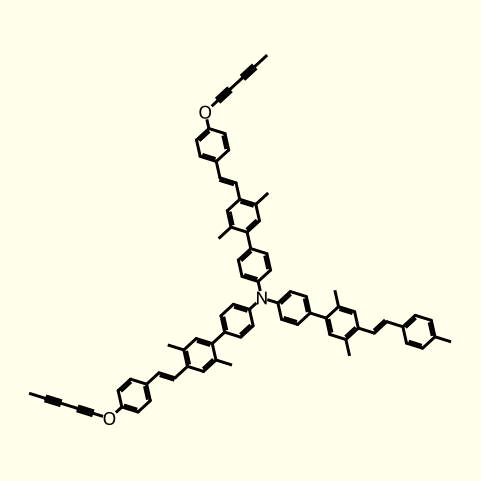 CC#CC#COc1ccc(/C=C/c2cc(C)c(-c3ccc(N(c4ccc(-c5cc(C)c(/C=C/c6ccc(C)cc6)cc5C)cc4)c4ccc(-c5cc(C)c(/C=C/c6ccc(OC#CC#CC)cc6)cc5C)cc4)cc3)cc2C)cc1